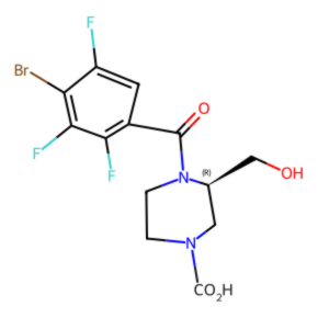 O=C(O)N1CCN(C(=O)c2cc(F)c(Br)c(F)c2F)[C@@H](CO)C1